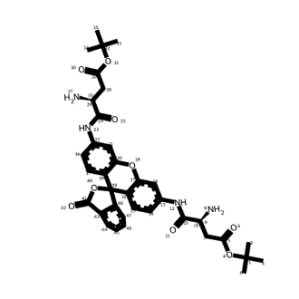 CC(C)(C)OC(=O)C[C@H](N)C(=O)Nc1ccc2c(c1)Oc1cc(NC(=O)[C@@H](N)CC(=O)OC(C)(C)C)ccc1C21OC(=O)c2ccccc21